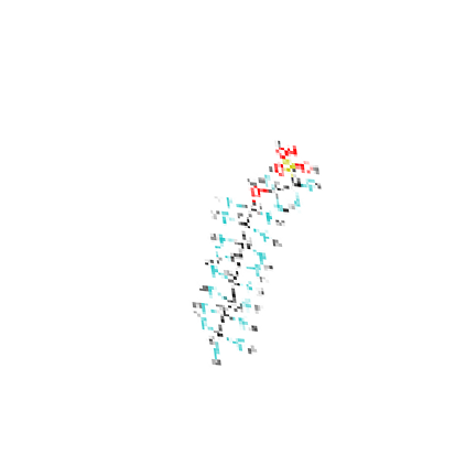 O=S(=O)(O)C(F)(F)C(F)(F)OC(F)(F)C(F)(F)C(F)(F)C(F)(F)C(F)(F)C(F)(F)C(F)(F)C(F)(F)F